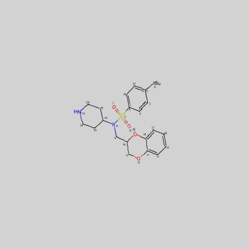 CC(C)(C)c1ccc(S(=O)(=O)N(CC2COc3ccccc3O2)C2CCNCC2)cc1